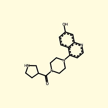 O=C(C1CCNC1)N1CCN(c2ccnc3cc(O)ccc23)CC1